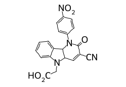 N#CC1=CC2C(c3ccccc3N2CC(=O)O)N(c2ccc([N+](=O)[O-])cc2)C1=O